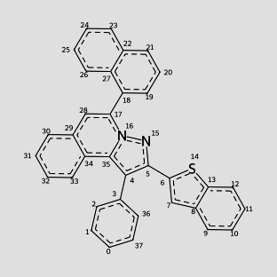 c1ccc(-c2c(-c3cc4ccccc4s3)nn3c(-c4cccc5ccccc45)cc4ccccc4c23)cc1